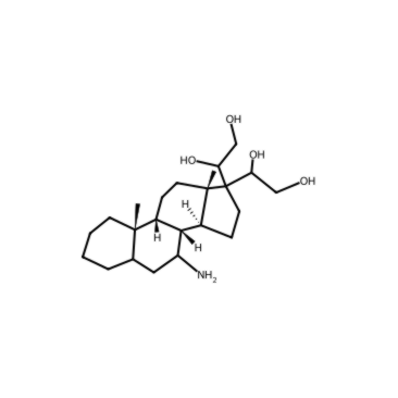 C[C@]12CCCCC1CC(N)[C@@H]1[C@H]2CC[C@@]2(C)[C@H]1CCC2(C(O)CO)C(O)CO